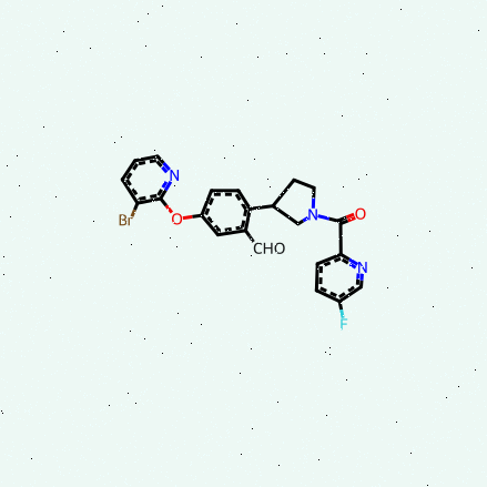 O=Cc1cc(Oc2ncccc2Br)ccc1C1CCN(C(=O)c2ccc(F)cn2)C1